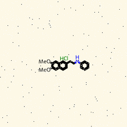 COc1cc2ccc(CCNc3ccccc3)cc2cc1OC.Cl